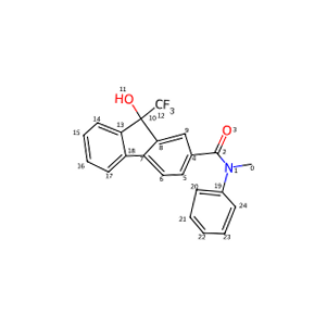 CN(C(=O)c1ccc2c(c1)C(O)(C(F)(F)F)c1ccccc1-2)c1ccccc1